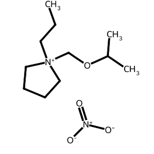 CCC[N+]1(COC(C)C)CCCC1.O=[N+]([O-])[O-]